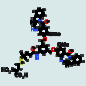 COc1cc2c(cc1OCc1cc(COc3cc4c(cc3OC)C(=O)N3c5ccccc5C[C@H]3CN4)cc(NC(=O)CCC(C)(C)SSCCC(C(=O)O)S(=O)(=O)O)c1)N=C[C@@H]1Cc3ccccc3N1C2=O